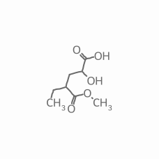 CCC(CC(O)C(=O)O)C(=O)OC